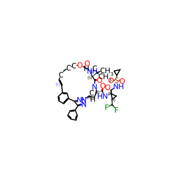 CC(C)(C)[C@@H]1NC(=O)OCCCC/C=C/c2cccc(c2)-c2nn(nc2-c2ccccc2)[C@@H]2C[C@@H](C(=O)N[C@]3(C(=O)NS(=O)(=O)C4CC4)C[C@H]3C(F)F)N(C2)C1=O